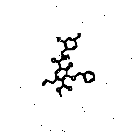 C=CCn1cc(C(=O)NCc2ccc(F)cc2F)c(=O)c(OCc2ccccc2)c1C(=O)OC